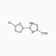 O=Cc1c[nH]c(-c2ccc(Cl)o2)n1